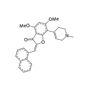 COc1cc(OC)c(C2=CCN(C)CC2)c2c1C(=O)/C(=C\c1cccc3ccccc13)O2